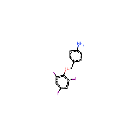 Nc1ccc(COc2c(I)cc(I)cc2I)cc1